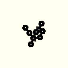 c1ccc(-c2ccc(-c3nc(-c4ccccc4)nc(-c4cccc(-c5cccc6c(-c7ccccc7)nc7ccccc7c56)c4)n3)cc2)cc1